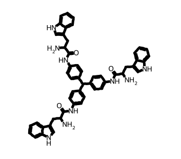 NC(Cc1c[nH]c2ccccc12)C(=O)Nc1ccc(C(c2ccc(NC(=O)C(N)Cc3c[nH]c4ccccc34)cc2)c2ccc(NC(=O)C(N)Cc3c[nH]c4ccccc34)cc2)cc1